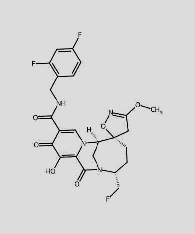 COC1=NO[C@@]2(CC[C@H](CF)N3C[C@H]2n2cc(C(=O)NCc4ccc(F)cc4F)c(=O)c(O)c2C3=O)C1